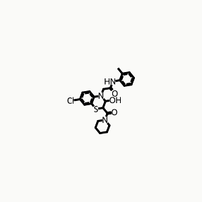 Cc1ccccc1NC(=O)CN1c2ccc(Cl)cc2SC(C(=O)N2CCCCC2)C1O